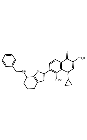 COc1c(-c2cc3c(s2)C(NCc2ccccc2)CCC3)ccc2c(=O)c(C(=O)O)cn(C3CC3)c12